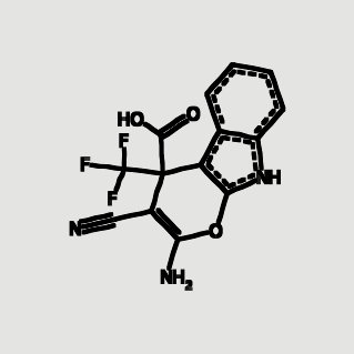 N#CC1=C(N)Oc2[nH]c3ccccc3c2C1(C(=O)O)C(F)(F)F